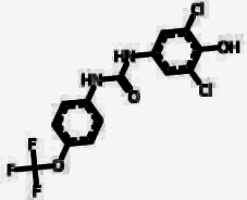 O=C(Nc1ccc(OC(F)(F)F)cc1)Nc1cc(Cl)c(O)c(Cl)c1